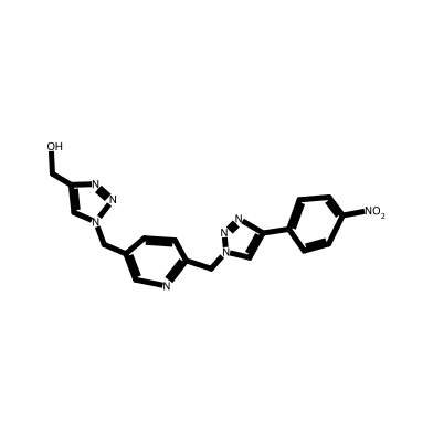 O=[N+]([O-])c1ccc(-c2cn(Cc3ccc(Cn4cc(CO)nn4)cn3)nn2)cc1